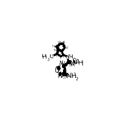 CC1CC(N/C(=N\O)c2nonc2N)c2ccccc21